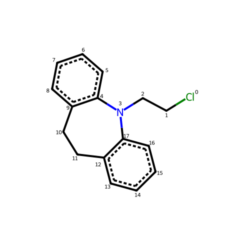 ClCCN1c2ccccc2CCc2ccccc21